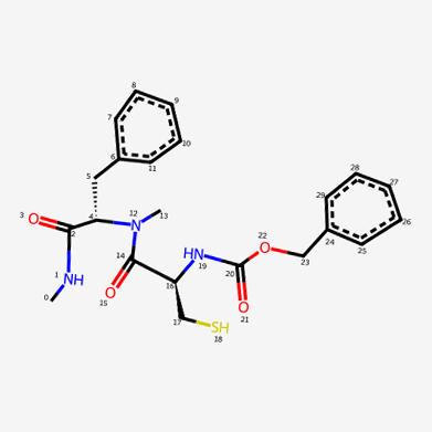 CNC(=O)[C@H](Cc1ccccc1)N(C)C(=O)[C@H](CS)NC(=O)OCc1ccccc1